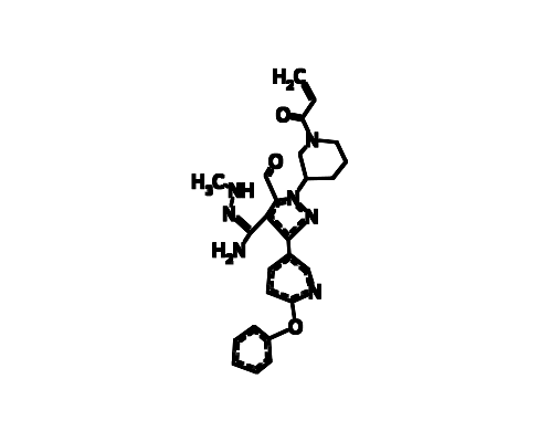 C=CC(=O)N1CCCC(n2nc(-c3ccc(Oc4ccccc4)nc3)c(/C(N)=N\NC)c2C=O)C1